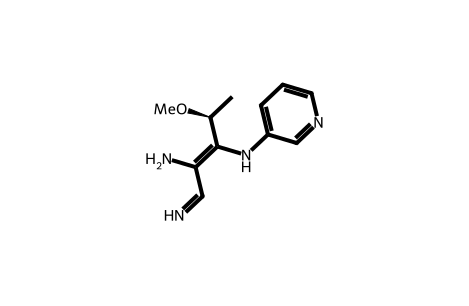 CO[C@@H](C)/C(Nc1cccnc1)=C(\N)C=N